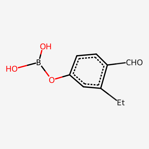 CCc1cc(OB(O)O)ccc1C=O